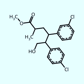 COC(=O)C(C)CC(c1cccc(Cl)c1)C(CO)c1ccc(Cl)cc1